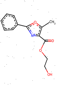 Cc1oc(-c2ccccc2)nc1C(=O)OCCO